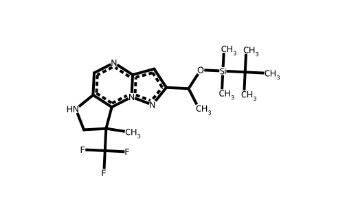 CC(O[Si](C)(C)C(C)(C)C)c1cc2ncc3c(n2n1)C(C)(C(F)(F)F)CN3